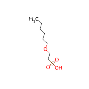 CCCCCCOCCS(=O)(=O)O